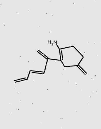 C=CC=CC(=C)C1=C(N)CCC(=C)C1